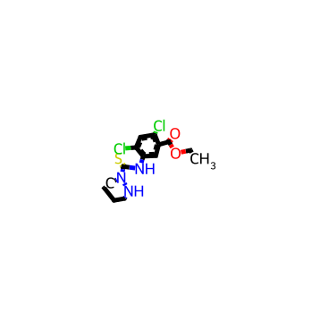 CCOC(=O)c1cc(NC(=S)N2CCCCN2)c(Cl)cc1Cl